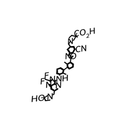 Cc1c(Nc2nc(C(F)F)nc3cc(CN4CC[C@@H](O)C4)cnc23)cccc1-c1cccc(-c2nc3cc(CN4CC[C@@](C)(C(=O)O)C4)cc(C#N)c3o2)c1C